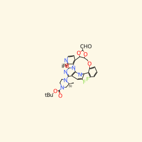 CC(C)c1nccc2c1-n1c(=O)nc(N3CCN(C(=O)OC(C)(C)C)C[C@@H]3C)c3cc(F)c(nc31)-c1c(F)cccc1OCC1OC(C=O)OC21